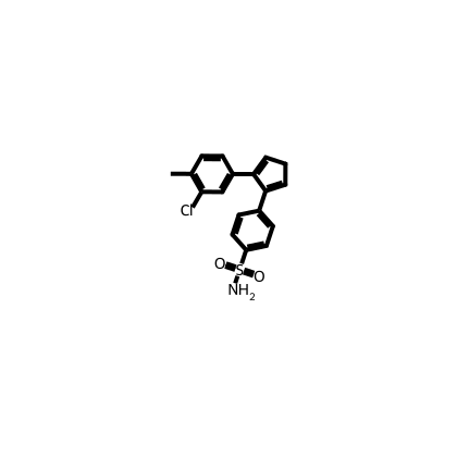 Cc1ccc(C2=CCC=C2c2ccc(S(N)(=O)=O)cc2)cc1Cl